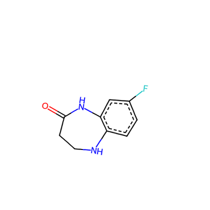 O=C1CCNc2ccc(F)cc2N1